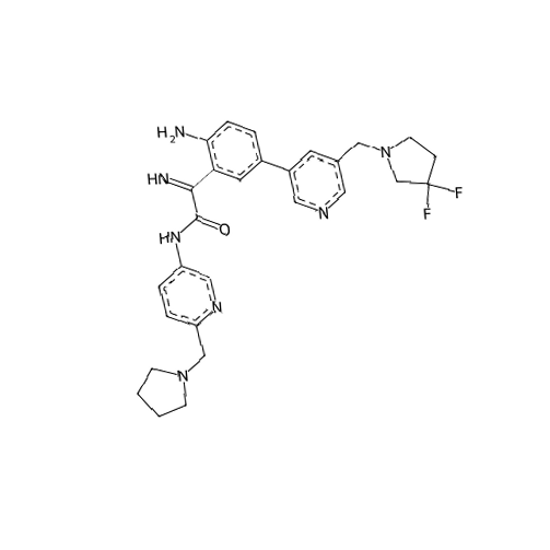 N=C(C(=O)Nc1ccc(CN2CCCC2)nc1)c1cc(-c2cncc(CN3CCC(F)(F)C3)c2)ccc1N